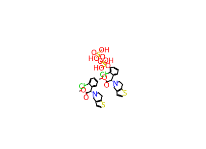 COC(=O)[C@H](c1ccccc1Cl)N1CCc2sccc2C1.COC(=O)[C@H](c1ccccc1Cl)N1CCc2sccc2C1.O=S(=O)(O)O.O=S(=O)(O)O